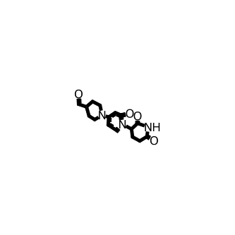 O=CC1CCN(c2ccn(C3CCC(=O)NC3=O)c(=O)c2)CC1